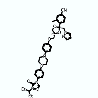 CCC(CC)n1ncn(-c2ccc(N3CCN(c4ccc(OC[C@H]5CO[C@](Cn6cccn6)(c6ccc(C#N)cc6C)O5)cc4)CC3)cc2)c1=O